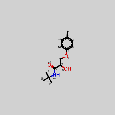 Cc1ccc(OCC(O)C(=O)NC(C)(C)C)cc1